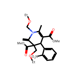 C=C1N(COCC)C(C)=C(C(=O)OC)C(c2ccccc2[N+](=O)[O-])C1(COCC)C(=O)OC